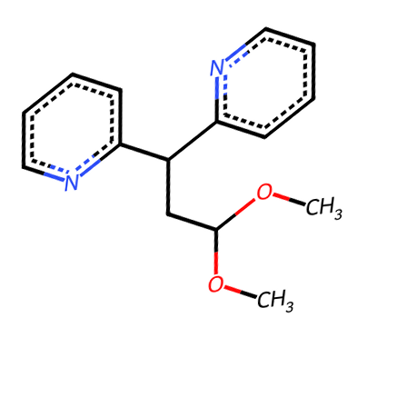 COC(CC(c1ccccn1)c1ccccn1)OC